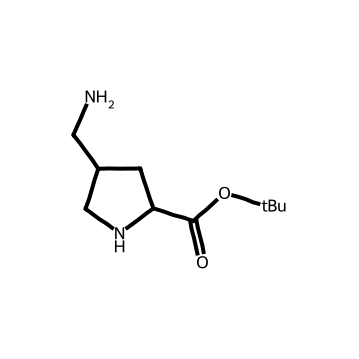 CC(C)(C)OC(=O)C1CC(CN)CN1